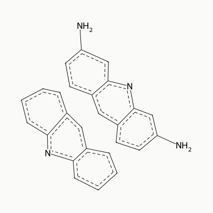 Nc1ccc2cc3ccc(N)cc3nc2c1.c1ccc2nc3ccccc3cc2c1